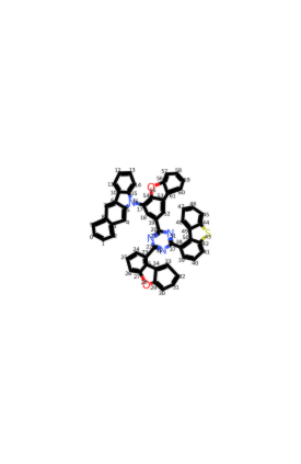 c1ccc2cc3c(cc2c1)c1ccccc1n3-c1cc(-c2nc(-c3cccc4oc5ccccc5c34)nc(-c3cccc4sc5ccccc5c34)n2)cc2c1oc1ccccc12